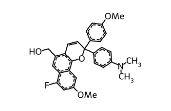 COc1ccc(C2(c3ccc(N(C)C)cc3)C=Cc3c(CO)cc4c(F)cc(OC)cc4c3O2)cc1